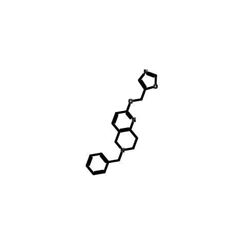 c1ccc(CN2CCc3nc(OCc4cnco4)ccc3C2)cc1